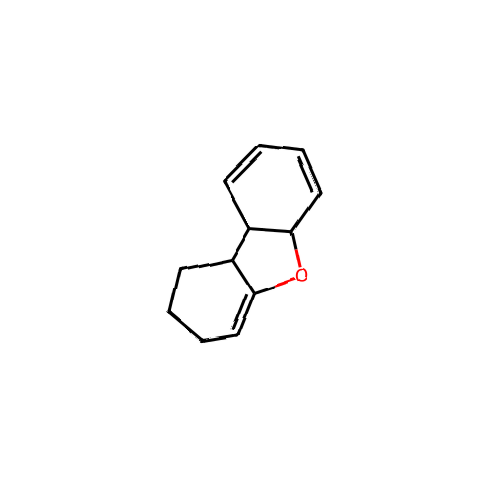 C1=CC2OC3=CCCCC3C2C=C1